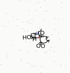 COC(=O)[C@@]1(C)CCC(C)(C)CCC[C@](C)([C@]2(C)CC[C@H]3C(C)(C)[C@@H](O)CC[C@]3(C)/C2=C/C(C)=O)CC1